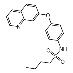 CCCCS(=O)(=O)Nc1ccc(Oc2ccc3cccnc3c2)cc1